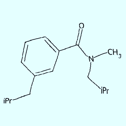 CC(C)Cc1cccc(C(=O)N(C)CC(C)C)c1